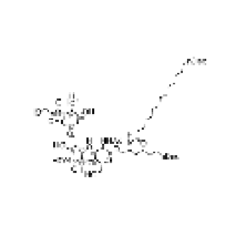 CCCCCCCCCCCCCCCCCCCCCCCC(=O)NC(CCCCCCCCCCCCCC)CO[C@@H]1OC(CO)[C@@H](O[C@@H]2OC(CO[C@@H]3C[C@@H](O)[C@@H](C)C([C@H](O)[C@H](O)CO)O3)[C@H](O)[C@H](O)C2O)[C@H](O)C1NC(C)=O